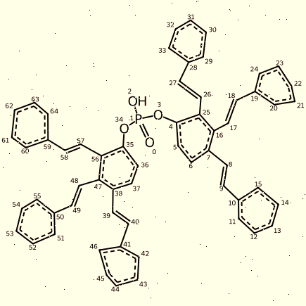 O=P(O)(Oc1ccc(/C=C/c2ccccc2)c(/C=C/c2ccccc2)c1/C=C/c1ccccc1)Oc1ccc(/C=C/c2ccccc2)c(/C=C/c2ccccc2)c1/C=C/c1ccccc1